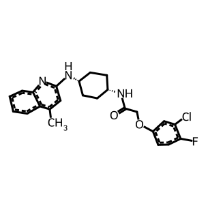 Cc1cc(N[C@H]2CC[C@@H](NC(=O)COc3ccc(F)c(Cl)c3)CC2)nc2ccccc12